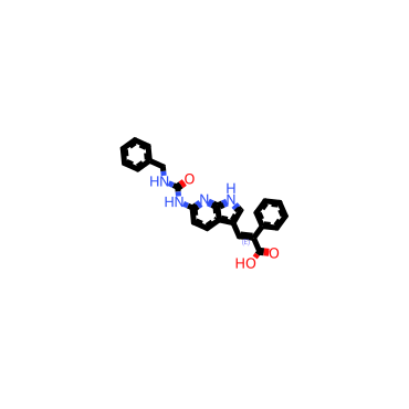 O=C(NCc1ccccc1)Nc1ccc2c(/C=C(/C(=O)O)c3ccccc3)c[nH]c2n1